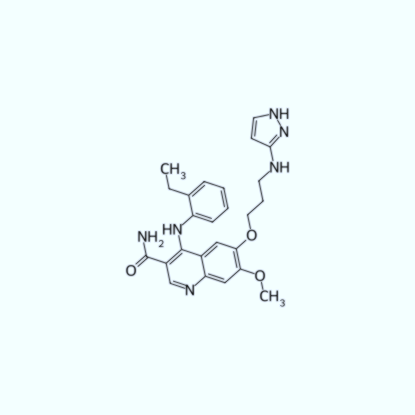 CCc1ccccc1Nc1c(C(N)=O)cnc2cc(OC)c(OCCCNc3cc[nH]n3)cc12